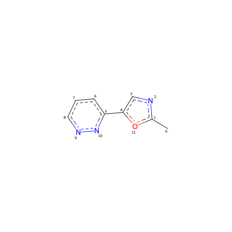 Cc1ncc(-c2cccnn2)o1